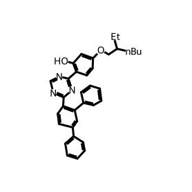 CCCCC(CC)COc1ccc(-c2ncnc(-c3ccc(-c4ccccc4)cc3-c3ccccc3)n2)c(O)c1